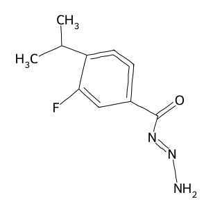 CC(C)C1=C=C=C(C(=O)N=NN)C=C1F